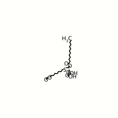 CCCCCCCCCCCCC(=O)O[C@H](COP(=O)(O)O)CSCCCCCCCOC=O